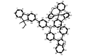 CCC1(C)c2ccccc2-c2ccc(-c3ccc(N(c4cccc(-c5c(-c6ccccc6)oc6ccccc56)c4)c4ccc5c(c4)C4(c6ccccc6Oc6ccccc64)c4ccccc4-5)cc3)cc21